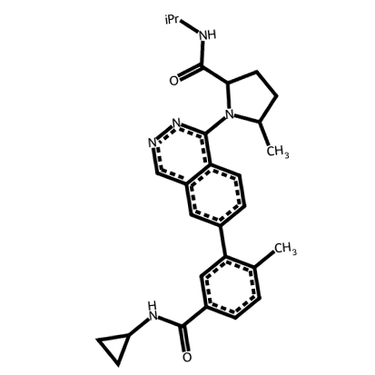 Cc1ccc(C(=O)NC2CC2)cc1-c1ccc2c(N3C(C)CCC3C(=O)NC(C)C)nncc2c1